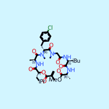 C=C(C)C(=O)O[C@H](CC(C)C)C(=O)N[C@@H](C)C(=O)N(C)[C@H](Cc1ccc(Cl)cc1)C(=O)N(C)CC(=O)N[C@H](C(=O)N[C@H](C)C(=O)OC)C(C)CC